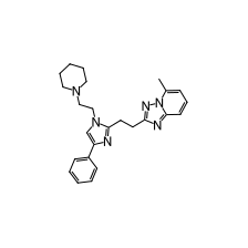 Cc1cccc2nc(CCc3nc(-c4ccccc4)cn3CCN3CCCCC3)nn12